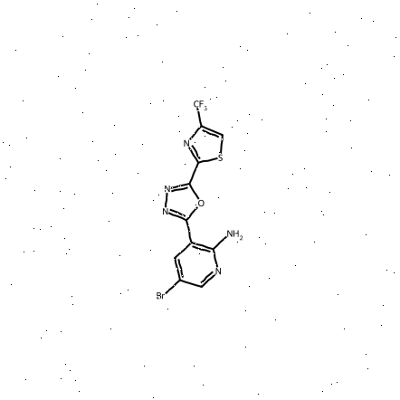 Nc1ncc(Br)cc1-c1nnc(-c2nc(C(F)(F)F)cs2)o1